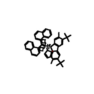 Cc1cc2c(cc1C(C)(C)C)-c1cc(C(C)(C)C)c(C)cc1[CH]2[Hf]([Cl])([Cl])(=[C](c1cccc2ccccc12)c1cccc2ccccc12)[CH]1C=CC=C1